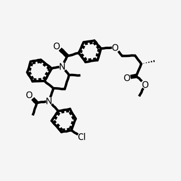 COC(=O)[C@@H](C)CCOc1ccc(C(=O)N2c3ccccc3C(N(C(C)=O)c3ccc(Cl)cc3)CC2C)cc1